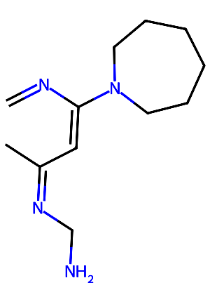 C=N/C(=C\C(C)=N/CN)N1CCCCCC1